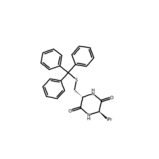 CC(C)[C@H]1NC(=O)[C@H](CSC(c2ccccc2)(c2ccccc2)c2ccccc2)NC1=O